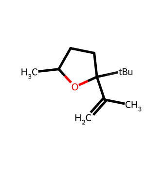 C=C(C)C1(C(C)(C)C)CCC(C)O1